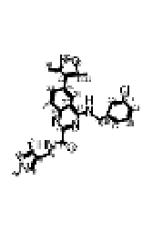 Cc1nn(C)cc1CNC(=O)c1nc(NCc2cccc(Cl)c2)c2cc(-c3c(C)noc3C)ccc2n1